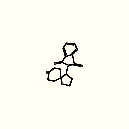 O=C1c2ccccc2C(=O)N1C1CCOC12CCNCC2